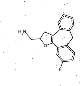 NCC1CC2=C(O1)c1cc(F)ccc1Cc1ccccc12